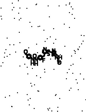 COCCNCc1cnc(-c2cc3nccc(Cc4ccc(NC(=O)Nc5ccc(C=O)cc5)cc4F)c3s2)n1C